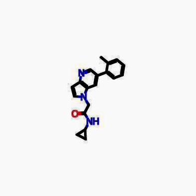 Cc1ccccc1-c1cnc2ccn(CC(=O)NC3CC3)c2c1